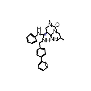 CC(C)CN1C(=N)/C(=C(\NCc2ccc(-c3ccccn3)cc2)Nc2ccccc2)CN(C)C1=O